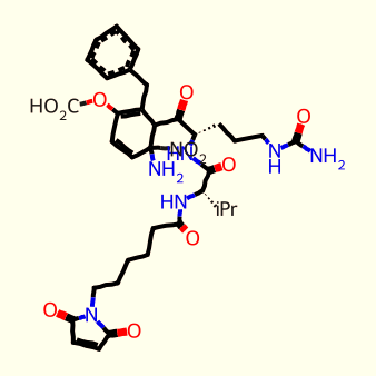 CC(C)[C@H](NC(=O)CCCCCN1C(=O)C=CC1=O)C(=O)N[C@@H](CCCNC(N)=O)C(=O)C1C(Cc2ccccc2)=C(OC(=O)O)C=CC1(N)[N+](=O)[O-]